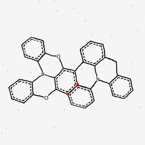 c1ccc(N2c3ccccc3Cc3cccc(-c4ccc5c6c4Oc4ccccc4B6c4ccccc4O5)c32)cc1